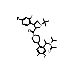 CC(=O)N(C(C)C)C(C)c1cc(Cl)c(C)cc1C1CCN(C(=O)C2CN(C(C)(C)C)CC2c2ccc(F)cc2F)CC1